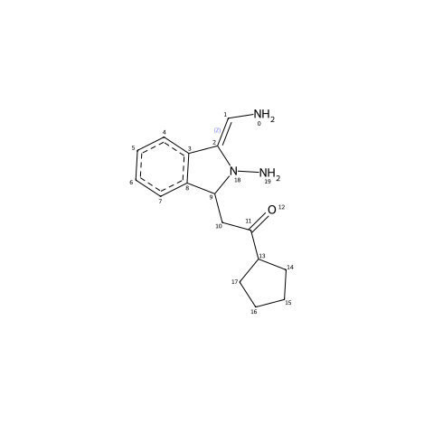 N/C=C1/c2ccccc2C(CC(=O)C2CCCC2)N1N